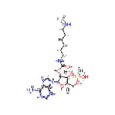 B[PH]1(O)OC[C@H]2O[C@@H](n3cnc4c(N)ncnc43)C(OC(=O)NCCCCCCNC)[C@H]2O1